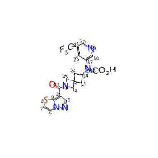 O=C(c1cnn2ccsc12)N1CC2(CC(N(C(=O)O)c3cncc(C(F)(F)F)c3)C2)C1